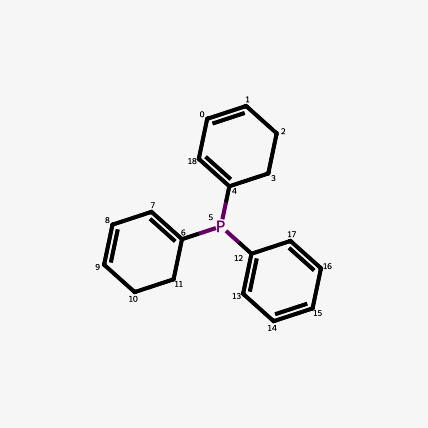 C1=CCCC(P(C2=CC=CCC2)c2ccccc2)=C1